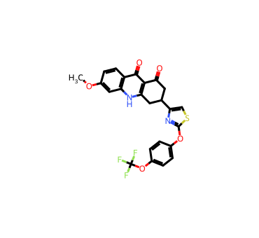 COc1ccc2c(=O)c3c([nH]c2c1)CC(c1csc(Oc2ccc(OC(F)(F)F)cc2)n1)CC3=O